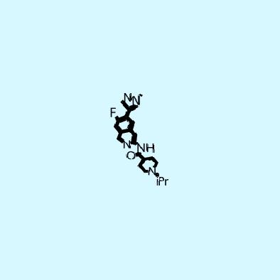 CC(C)CN1CCC(C(=O)Nc2cc3cc(-c4cnn(C)c4)c(F)cc3cn2)CC1